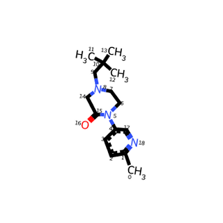 Cc1ccc(N2CCN(CC(C)(C)C)CC2=O)cn1